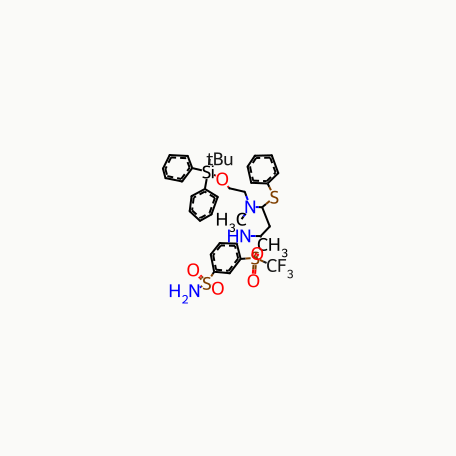 CC(CC(Sc1ccccc1)N(C)CCO[Si](c1ccccc1)(c1ccccc1)C(C)(C)C)Nc1ccc(S(N)(=O)=O)cc1S(=O)(=O)C(F)(F)F